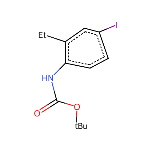 CCc1cc(I)ccc1NC(=O)OC(C)(C)C